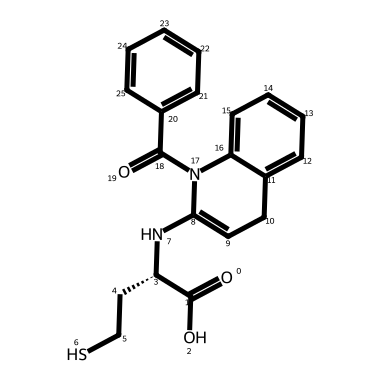 O=C(O)[C@H](CCS)NC1=CCc2ccccc2N1C(=O)c1ccccc1